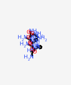 C[C@H](CCCN)NC(=O)[C@@H](Cc1c[nH]c2ccccc12)NC(=O)[C@H](CCCN)NC(=O)[C@@H](Cc1ccccc1)NC(=O)[C@H](CCCN)NC(=O)[C@@H](CCC(N)=O)NC(=O)[C@@H](N)CCCN